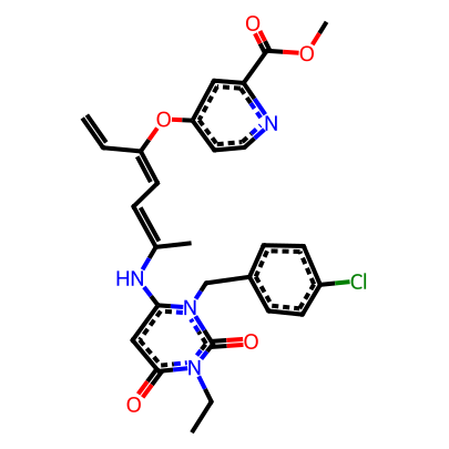 C=C/C(=C\C=C(/C)Nc1cc(=O)n(CC)c(=O)n1Cc1ccc(Cl)cc1)Oc1ccnc(C(=O)OC)c1